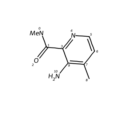 CNC(=O)c1nccc(C)c1N